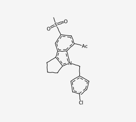 CC(=O)c1cc(S(C)(=O)=O)cc2c3c(n(Cc4ccc(Cl)cc4)c12)CCC3